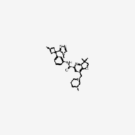 CC1CC(c2cccc(NC(=O)c3cc(CN4CCC[C@H](C)C4)c4c(n3)C(C)(C)CO4)c2)(c2nncn2C)C1